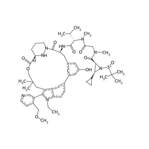 CCn1c(-c2cnccc2COC)c2c3cc(ccc31)-c1cc(O)cc(c1)C[C@H](NC(=O)[C@H](C(C)C)N(C)C(=O)CN(C)C(=O)[C@@H]1[C@H](C3CC3)N1[S@@+]([O-])C(C)(C)C)C(=O)N1CCC[C@H](N1)C(=O)OCC(C)(C)C2